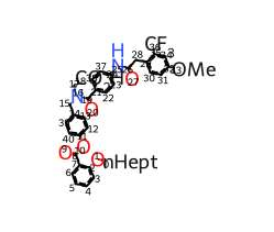 CCCCCCCOc1ccccc1C(=O)Oc1ccc(CN(CC(=O)O)C(=O)c2ccc(NC(=O)Cc3ccc(OC)cc3C(F)(F)F)cc2)cc1